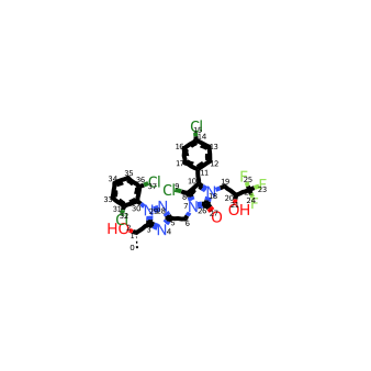 C[C@H](O)c1nc(Cn2c(Cl)c(-c3ccc(Cl)cc3)n(CC(O)C(F)(F)F)c2=O)nn1-c1c(Cl)cccc1Cl